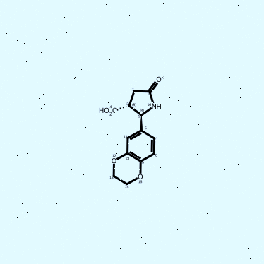 O=C1C[C@@H](C(=O)O)[C@H](c2ccc3c(c2)OCCO3)N1